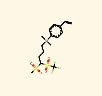 C=Cc1ccc([Si](C)(C)CCCC(S(C)(=O)=O)S(=O)(=O)C(F)(F)F)cc1